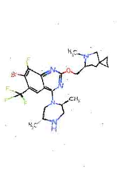 C[C@@H]1CN(c2nc(OC[C@@H]3CC4(CC4)CN3C)nc3c(F)c(Br)c(C(F)(F)F)cc23)[C@@H](C)CN1